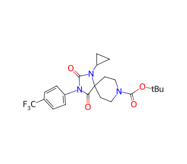 CC(C)(C)OC(=O)N1CCC2(CC1)C(=O)N(c1ccc(C(F)(F)F)cc1)C(=O)N2C1CC1